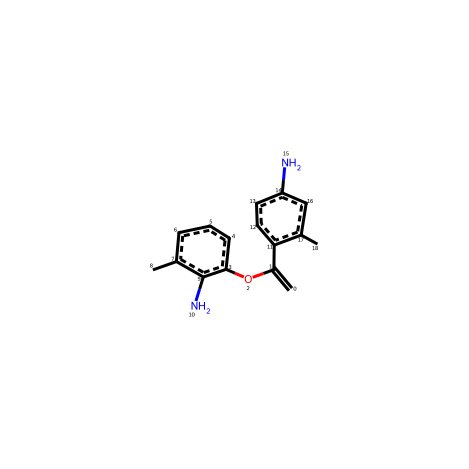 C=C(Oc1cccc(C)c1N)c1ccc(N)cc1C